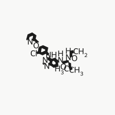 C=CC(=O)N[C@@H](CC(C)C)C(=O)Nc1ccc2ncnc(Nc3ccc(OCc4ccccn4)c(Cl)c3)c2c1